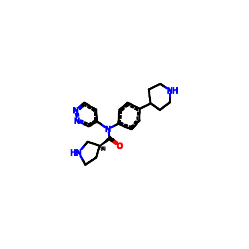 O=C([C@H]1CCNC1)N(c1ccc(C2CCNCC2)cc1)c1ccnnc1